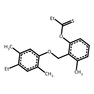 CCC(=S)Oc1cccc(C)c1COc1cc(C)c(CC)cc1C